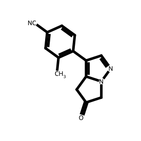 Cc1cc(C#N)ccc1-c1cnn2c1CC(=O)C2